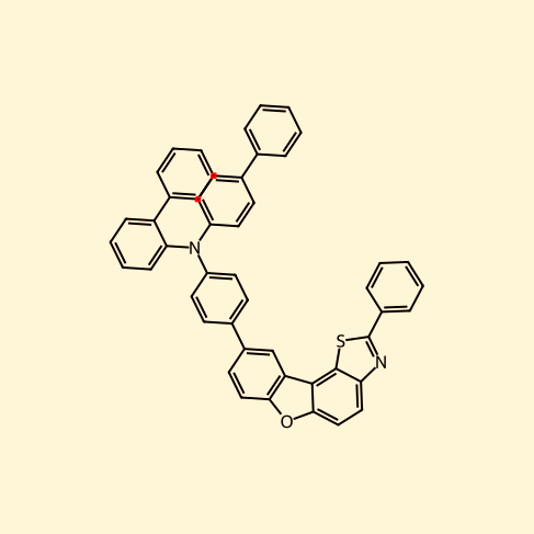 c1ccc(-c2ccc(N(c3ccc(-c4ccc5oc6ccc7nc(-c8ccccc8)sc7c6c5c4)cc3)c3ccccc3-c3ccccc3)cc2)cc1